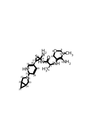 C[C@H](NC1=C(N)N(C)COC1)C(=O)NC1(N)S[C@@H]1C1=CNC(N2CC3CC3C2)C=C1